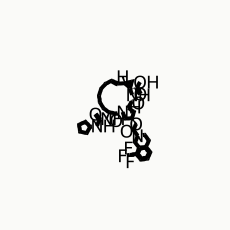 O=C(NC1CCCC1)N[C@H]1CCCCC/C=C/[C@@H]2C[C@@]2(C(=O)O)NC(=O)[C@@H]2C[C@@H](OC(=O)N3CCc4cccc(C(F)(F)F)c4C3)CN2C1=O